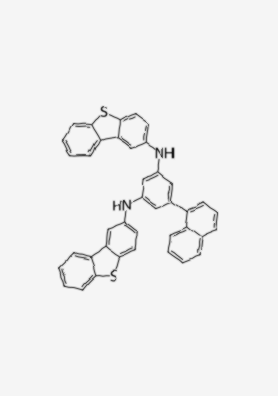 c1ccc2c(-c3cc(Nc4ccc5sc6ccccc6c5c4)cc(Nc4ccc5sc6ccccc6c5c4)c3)cccc2c1